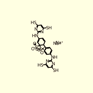 O=S(=O)([O-])C1(S(=O)(=O)[O-])C=C(Nc2nc(S)cc(S)n2)C=CC1c1ccc(Nc2nc(S)cc(S)n2)cc1.[Na+].[Na+]